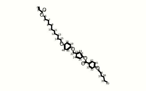 C=CC(=O)OCCCCCCCCCCCOc1ccc(OCc2ccc(OC(=O)c3ccc(OCCCCCC)cc3)cc2)cc1